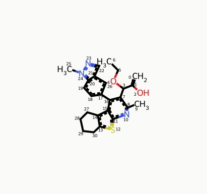 C=C(O)C(OCC)c1c(C)nc2sc3c(c2c1-c1ccc2c(cnn2C)c1)CCCC3